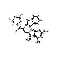 CC1CN(C(=O)/C=C/c2c(C#N)c3c(C(C)C)cc(C(C)C)nc3n2C2CCc3ccccc32)CC(C)O1